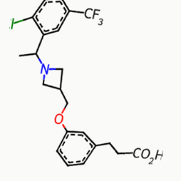 CC(c1cc(C(F)(F)F)ccc1Cl)N1CC(COc2cccc(CCC(=O)O)c2)C1